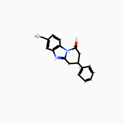 Cc1ccc2c(c1)nc1n2C(=O)CC(c2ccccc2)C1